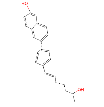 CC(O)CCC/C=C/c1ccc(-c2ccc3cc(O)ccc3c2)cc1